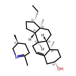 CC1=NC[C@@H](C)CC1.CC[C@H]1CC[C@H]2[C@@H]3CC=C4C[C@@H](O)CC[C@]4(C)[C@H]3CC[C@]12C